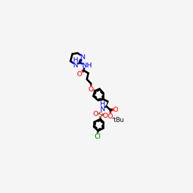 CC(C)(C)OC(=O)[C@H](Cc1ccc(OCCCC(=O)NC2=NCCCN2)cc1)NS(=O)(=O)c1ccc(Cl)cc1